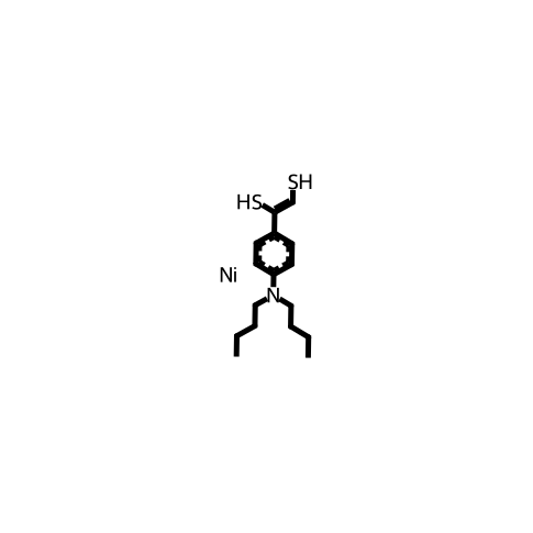 CCCCN(CCCC)c1ccc(C(S)=CS)cc1.[Ni]